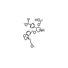 COCCCN1CCOc2ccc(CO[C@H]3CNC[C@@H](OCC(C)O)[C@@H]3c3ccc([C@@H](OC)C4CC4)cc3)cc21